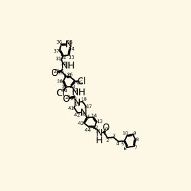 O=C(CCCc1ccccc1)Nc1ccc(N2CCN(C(=O)Nc3c(Cl)cc(C(=O)NCc4ccncc4)cc3Cl)CC2)cc1